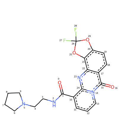 O=C(NCCN1CCCC1)c1cccn2c(=O)c3ccc4c(c3nc12)OC(F)(F)O4